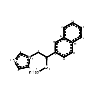 CCCCCCSC(Cn1ccnc1)c1ccc2ccccc2c1